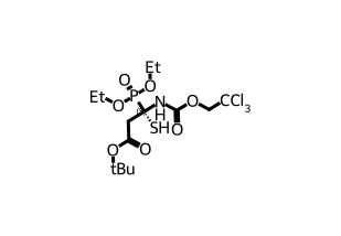 CCOP(=O)(OCC)[C@](S)(CC(=O)OC(C)(C)C)NC(=O)OCC(Cl)(Cl)Cl